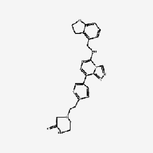 O=C1CN(CCc2ccc(-c3cnc(NCc4cccc5c4CCO5)n4cnnc34)cn2)CCN1